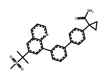 CC(C)(c1cc(-c2cccc(-c3ccc(C4(C(N)=O)CC4)cc3)c2)c2ncccc2c1)S(C)(=O)=O